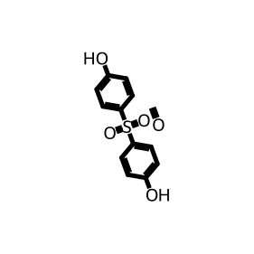 C=O.O=S(=O)(c1ccc(O)cc1)c1ccc(O)cc1